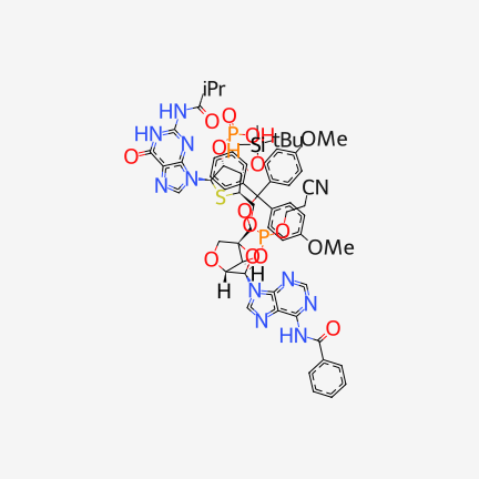 COc1ccc(C(OC[C@@]23CO[C@@H]([C@H](n4cnc5c(NC(=O)c6ccccc6)ncnc54)O2)[C@@H]3OP(OCCC#N)OC[C@H]2S[C@@H](n3cnc4c(=O)[nH]c(NC(=O)C(C)C)nc43)[C@H](O[PH](=O)O)[C@@H]2O[Si](C)(C)C(C)(C)C)(c2ccccc2)c2ccc(OC)cc2)cc1